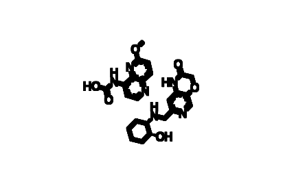 COc1ccc2nccc(NC(=O)O)c2n1.O=C1COc2cnc(CN[C@@H]3CCCC[C@H]3O)cc2N1